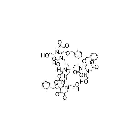 NC(CCCN(C(=O)O)C1=C(OCc2ccccc2)C(=O)C(=O)CN1CCO)(CCCN(C(=O)O)C1=C(OCc2ccccc2)C(=O)C(=O)CN1CCO)CCCN(C(=O)O)C1=C(OCc2ccccc2)C(=O)C(=O)CN1CCO